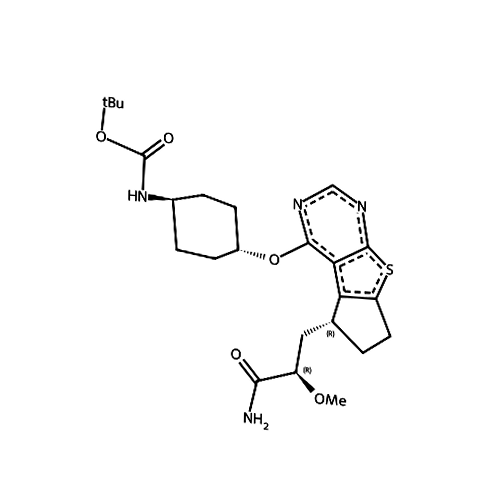 CO[C@H](C[C@H]1CCc2sc3ncnc(O[C@H]4CC[C@H](NC(=O)OC(C)(C)C)CC4)c3c21)C(N)=O